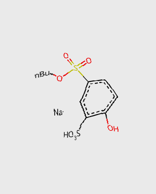 CCCCOS(=O)(=O)c1ccc(O)c(S(=O)(=O)O)c1.[Na]